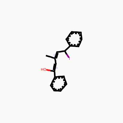 CC(=C/C(I)c1ccccc1)/C=C(\O)c1ccccc1